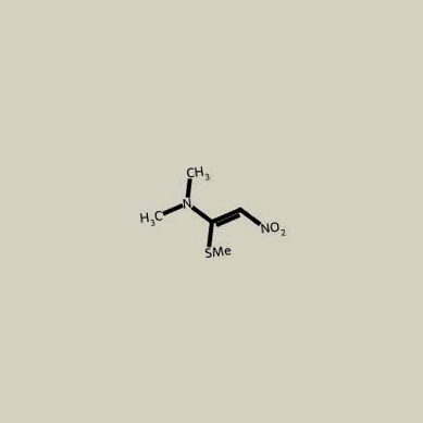 CS/C(=C\[N+](=O)[O-])N(C)C